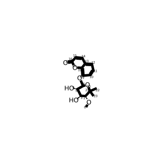 CO[C@@H]1[C@H](O)[C@H](O)C(Oc2cccc3ccc(=O)oc23)OC1(C)C